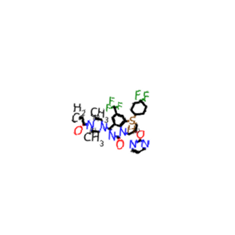 C=CC(=O)N1[C@H](C)CN(c2nc(=O)n3c4c(cc(C(F)(F)F)cc24)[SH](C2CCC(F)(F)CC2)C[C@@H](Oc2ncccn2)C3)C[C@@H]1C